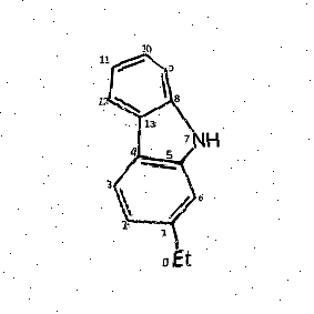 CCc1[c]cc2c(c1)[nH]c1ccccc12